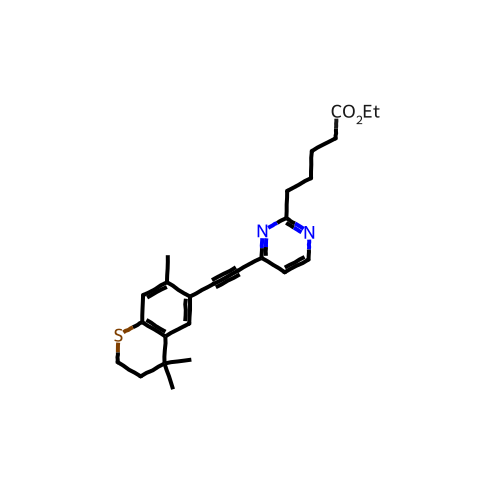 CCOC(=O)CCCCc1nccc(C#Cc2cc3c(cc2C)SCCC3(C)C)n1